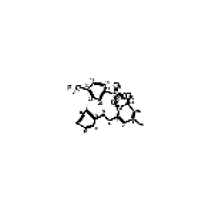 Cc1cc(CCc2ccccc2)n(OS(=O)(=O)c2ccc(C(F)(F)F)cc2)c(=O)c1